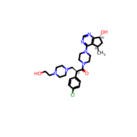 C[C@@H]1C[C@@H](O)c2ncnc(N3CCN(C(=O)[C@H](CN4CCN(CCO)CC4)c4ccc(Cl)cc4)CC3)c21